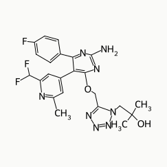 Cc1cc(-c2c(OCc3nnnn3CC(C)(C)O)nc(N)nc2-c2ccc(F)cc2)cc(C(F)F)n1